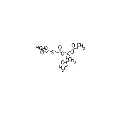 C=CC(=O)OCC(CC)(COC(=O)C=C)COC(=O)CCSCCS(=O)(=O)O